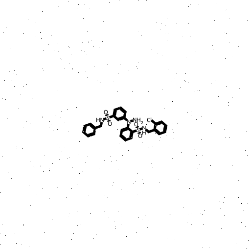 NN(c1cccc(S(=O)(=O)NCc2ccccc2)c1)c1cc[c]cc1S(=O)(=O)NCc1ccccc1Cl